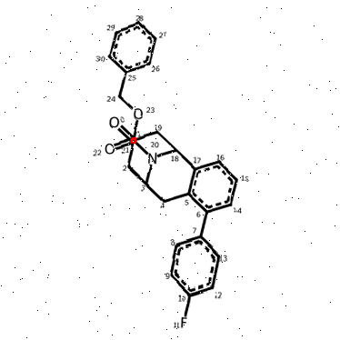 O=C1CC2Cc3c(-c4ccc(F)cc4)cccc3C(C1)N2C(=O)OCc1ccccc1